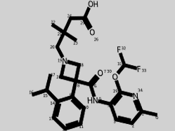 Cc1ccc(NC(=O)C2(c3ccccc3C(C)C)CN(CC(C)(C)CC(=O)O)C2)c(OC(F)F)n1